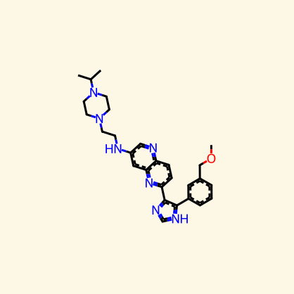 COCc1cccc(-c2[nH]cnc2-c2ccc3ncc(NCCN4CCN(C(C)C)CC4)cc3n2)c1